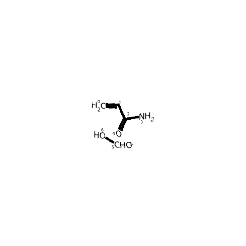 C=CC(N)=O.O=[C]O